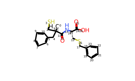 CC(CS)(Cc1ccccc1)C(=O)N[C@@H](CSCc1ccccc1)C(=O)O